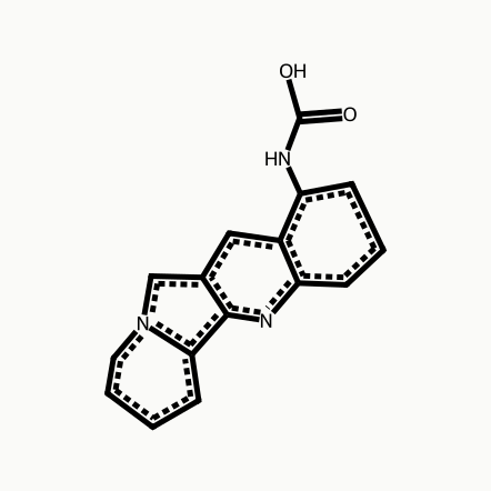 O=C(O)Nc1cccc2nc3c(cc12)cn1ccccc31